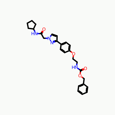 O=C(Cn1ccc(-c2ccc(OCCNC(=O)OCc3ccccc3)cc2)n1)NC1CCCC1